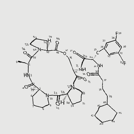 C[C@@H]1NC(=O)[C@@H]2CCCCN2C(=O)[C@@H]2CCCN2C(=O)[C@@H](NC(=O)[C@H](Cc2cc(F)cc(F)c2)NC(=O)CCCC2CCCCC2)COC(=O)[C@@H]2CCCN2C1=O